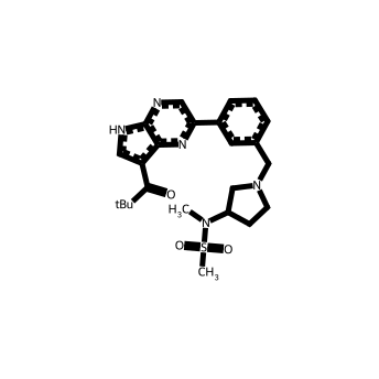 CN(C1CCN(Cc2cccc(-c3cnc4[nH]cc(C(=O)C(C)(C)C)c4n3)c2)C1)S(C)(=O)=O